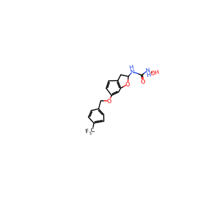 O=C(NO)NC1Cc2ccc(OCc3ccc(C(F)(F)F)cc3)cc2O1